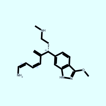 C=C(/C=C\C=C/N)[C@H](CCNC)c1ccc2c(OC)n[nH]c2c1